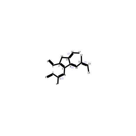 C=CC1=C(/C=C(/C)C=C)C(=C/C(C)=C\C)/C(=C\C)C1